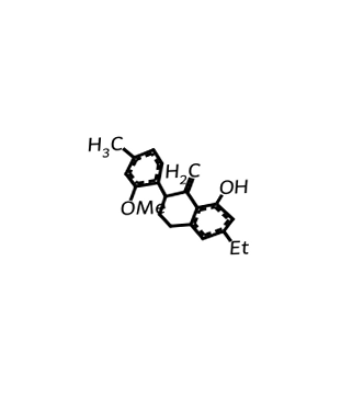 C=C1c2c(O)cc(CC)cc2CCC1c1ccc(C)cc1OC